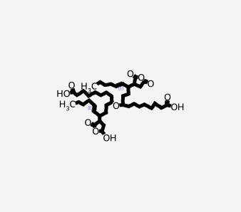 CCCC/C=C/C(CCC(CCCCCCCC(=O)O)OC(CCCCCCCC(=O)O)CCC(/C=C/CCCC)C1CC(O)OC1=O)C1CC(=O)OC1=O